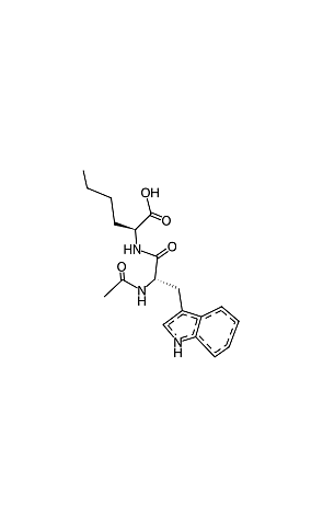 CCCC[C@H](NC(=O)[C@H](Cc1c[nH]c2ccccc12)NC(C)=O)C(=O)O